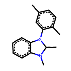 Cc1ccc(C)c(N2c3ccccc3N(C)C2C)c1